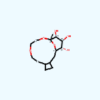 O[C@@H]1[C@H](O)[C@H]2OCCOCCC3CCC3C[C@@H](O2)[C@H]1O